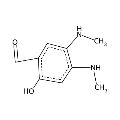 CNc1cc(O)c(C=O)cc1NC